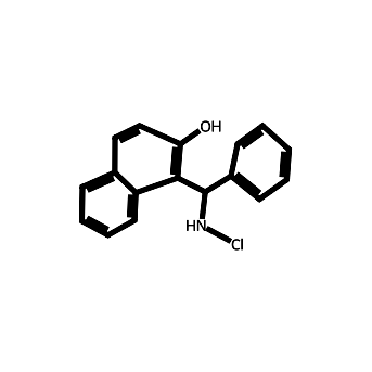 Oc1ccc2ccccc2c1C(NCl)c1ccccc1